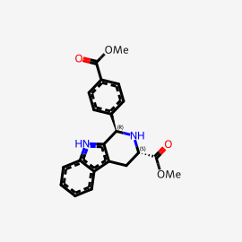 COC(=O)c1ccc([C@H]2N[C@H](C(=O)OC)Cc3c2[nH]c2ccccc32)cc1